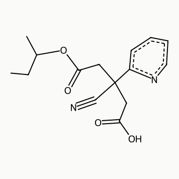 CCC(C)OC(=O)CC(C#N)(CC(=O)O)c1ccccn1